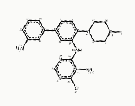 CN1CCN(c2ccc(-c3cccc(N)c3)cc2Nc2ncnc(Cl)c2N)CC1